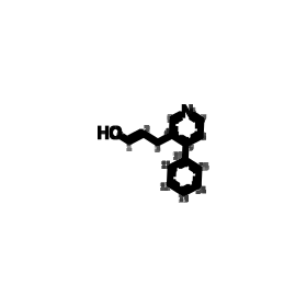 OC=CCc1cnccc1-c1ccccc1